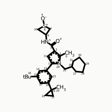 Cc1c(C(=O)NC2C[S+]([O-])C2)cc(-c2cc(C(C)(C)C)cc(C3(C)CC3)c2)n1CC1CCCCC1